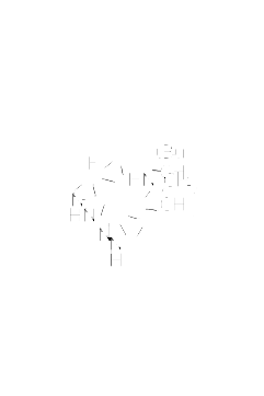 C=C/C(=C\C(=C/C)c1ccc2[nH]nc(-c3cc4c(-c5ccccc5F)ccnc4[nH]3)c2c1)NC(=C)CC(C)(C)C